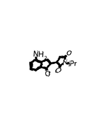 CC(C)N1C(=O)CC(C2Cc3c(N)cccc3C2=O)C1=O